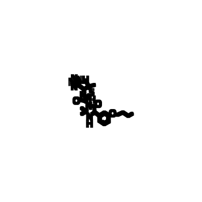 CCCCOc1cccc(C2NC(C)(C)N(C3C(=O)N4C(c5nnn[nH]5)C(C)(C)S[C@@H]34)C2=O)c1